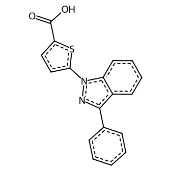 O=C(O)c1ccc(-n2nc(-c3ccccc3)c3ccccc32)s1